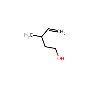 [CH2]C(C=C)C[CH]O